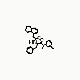 CN(C(=O)C(Cc1ccccc1)NC(=O)Cc1cccc2ccccc12)c1cccc(F)c1